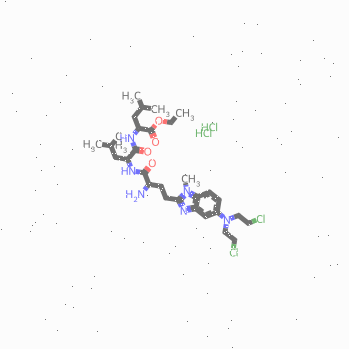 CCOC(=O)C(CC(C)C)NC(=O)C(CC(C)C)NC(=O)C(N)CCc1nc2cc(N(CCCl)CCCl)ccc2n1C.Cl.Cl